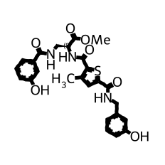 COC(=O)[C@H](CNC(=O)c1cccc(O)c1)NC(=O)c1sc(C(=O)NCc2cccc(O)c2)cc1C